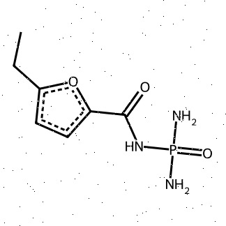 CCc1ccc(C(=O)NP(N)(N)=O)o1